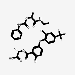 CCNC(=O)C(C)OC(=O)Nc1ccccc1.C[C@H](OC(=O)c1cc(Oc2ccc(C(F)(F)F)cc2Cl)ccc1Cl)C(=O)O